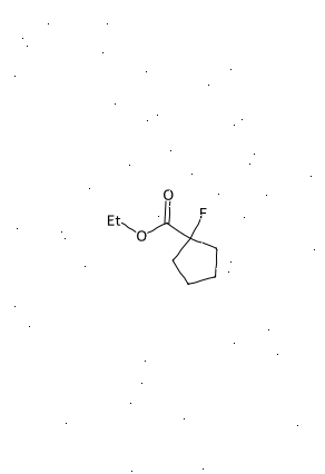 CCOC(=O)C1(F)CCCC1